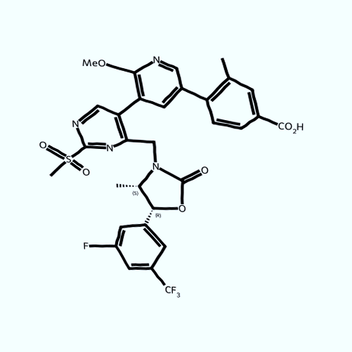 COc1ncc(-c2ccc(C(=O)O)cc2C)cc1-c1cnc(S(C)(=O)=O)nc1CN1C(=O)O[C@H](c2cc(F)cc(C(F)(F)F)c2)[C@@H]1C